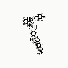 O=S(=O)(NC[C@H]1CC[C@H](CNc2nc(NCCc3ccc(F)cc3)c3ccccc3n2)CC1)c1ccc(OC(F)(F)F)cc1